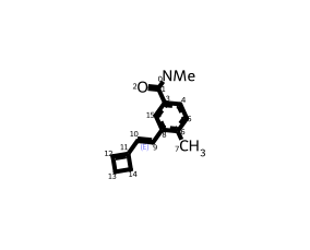 CNC(=O)c1ccc(C)c(/C=C/C2=CCC2)c1